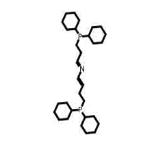 C(=CN=CCCP(C1CCCCC1)C1CCCCC1)CCP(C1CCCCC1)C1CCCCC1